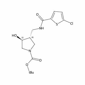 CC(C)(C)OC(=O)N1C[C@@H](CNC(=O)c2ccc(Cl)s2)[C@H](O)C1